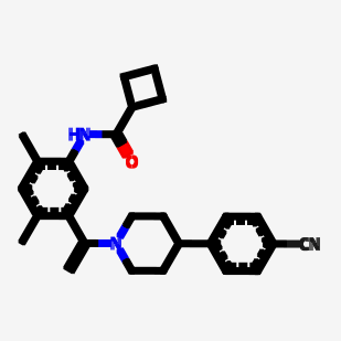 C=C(c1cc(NC(=O)C2CCC2)c(C)cc1C)N1CCC(c2ccc(C#N)cc2)CC1